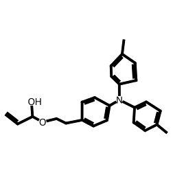 C=CC(O)OCCc1ccc(N(c2ccc(C)cc2)c2ccc(C)cc2)cc1